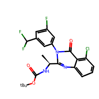 C[C@H](NC(=O)OC(C)(C)C)c1nc2cccc(Cl)c2c(=O)n1-c1cc(F)cc(C(F)F)c1